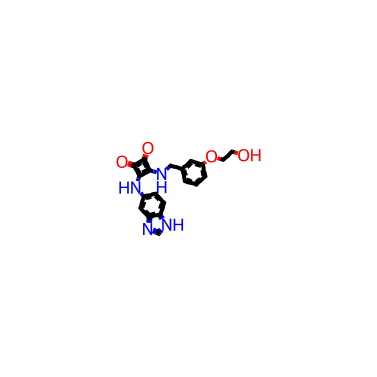 O=c1c(NCc2cccc(OCCO)c2)c(Nc2ccc3[nH]cnc3c2)c1=O